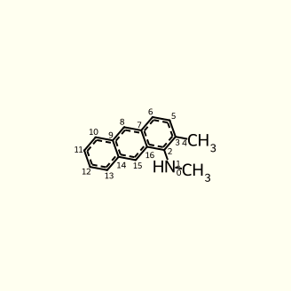 CNc1c(C)ccc2cc3ccccc3cc12